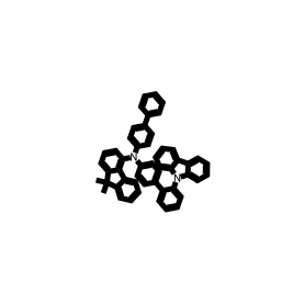 CC1(C)c2ccccc2-c2c(N(c3ccc(-c4ccccc4)cc3)c3ccc(-c4ccccc4-n4c5ccccc5c5ccccc54)cc3)cccc21